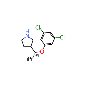 CC(C)[C@@H](Oc1cc(Cl)cc(Cl)c1)C1CCNC1